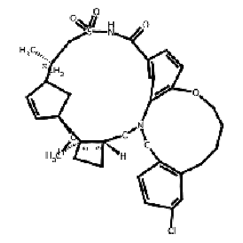 COC12C=CC(C)(C1)[C@H](C)CS(=O)(=O)NC(=O)c1ccc3c(c1)N(Cc1ccc(Cl)cc1CCCCO3)C[C@@H]1CC[C@H]12